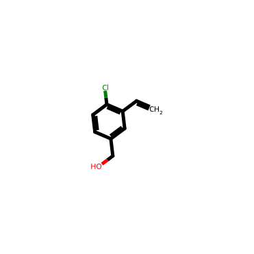 C=Cc1cc(CO)ccc1Cl